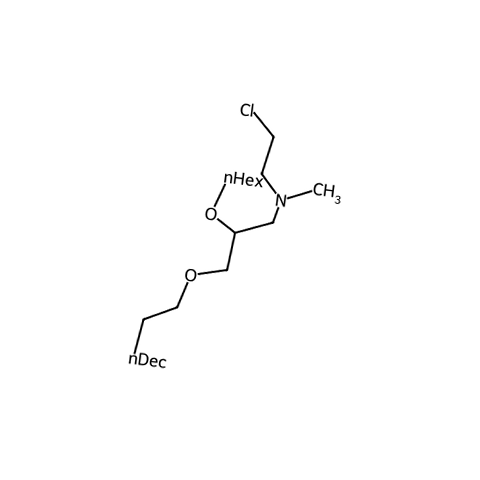 CCCCCCCCCCCCOCC(CN(C)CCCl)OCCCCCC